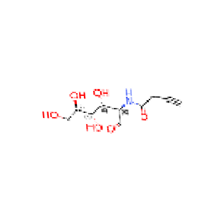 C#CCC(=O)N[C@@H](C=O)[C@@H](O)[C@H](O)[C@H](O)CO